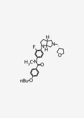 CCCCOc1ccc(C(=O)N(C)c2ccc(N3CC[C@@H]4CN(C[C@@H]5CCOC5)C[C@@H]43)c(F)c2)cc1